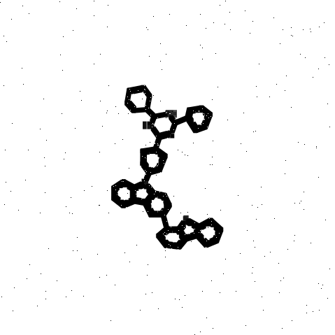 C1=CCC(C2NC(c3ccc(-n4c5ccccc5c5cc(-c6cccc7c6sc6ccccc67)ccc54)cc3)=NC(c3ccccc3)N2)C=C1